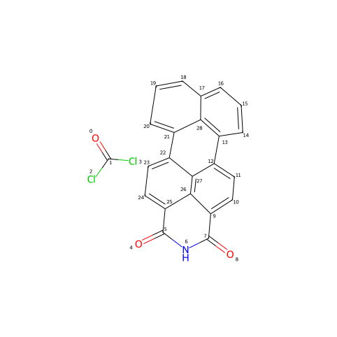 O=C(Cl)Cl.O=C1NC(=O)c2ccc3c4cccc5cccc(c6ccc1c2c63)c54